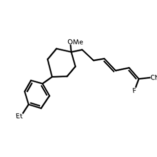 CCc1ccc(C2CCC(CCC=CC=C(F)C#N)(OC)CC2)cc1